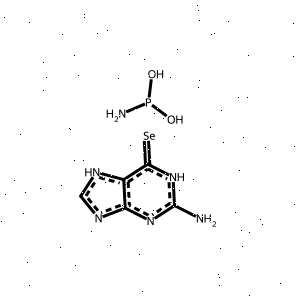 NP(O)O.Nc1nc2nc[nH]c2c(=[Se])[nH]1